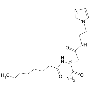 CCCCCCCC(=O)N[C@H](CC(=O)NCCn1ccnc1)C(N)=O